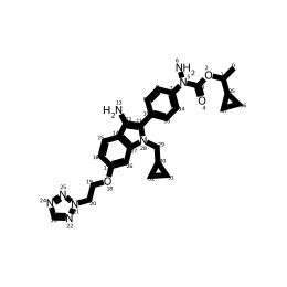 CC(OC(=O)N(N)c1ccc(-c2c(N)c3ccc(OCCn4ncnn4)cc3n2CC2CC2)cc1)C1CC1